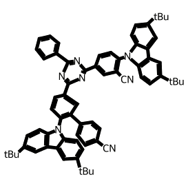 CC(C)(C)c1ccc2c(c1)c1cc(C(C)(C)C)ccc1n2-c1ccc(-c2nc(-c3ccccc3)nc(-c3ccc(-n4c5ccc(C(C)(C)C)cc5c5cc(C(C)(C)C)ccc54)c(-c4ccc(C#N)cc4)c3)n2)cc1C#N